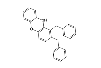 c1ccc(Cc2ccc3c(c2Cc2ccccc2)Nc2ccccc2O3)cc1